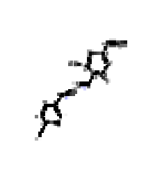 CCCCCCCc1cc(F)c(/C=N/N=C/c2ccc(CC)cc2)c(F)c1